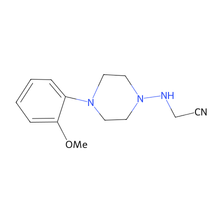 COc1ccccc1N1CCN(NCC#N)CC1